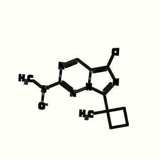 C[S+]([O-])c1ncc2c(Cl)nc(C3(C)CCC3)n2n1